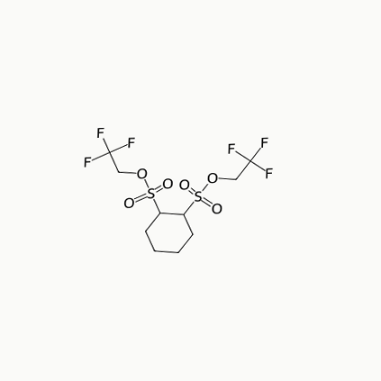 O=S(=O)(OCC(F)(F)F)C1CCCCC1S(=O)(=O)OCC(F)(F)F